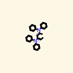 C/C=C(\C=C(/C)N(c1ccccc1)c1ccccc1)N(c1ccccc1)c1ccccc1